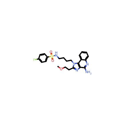 COCCc1nc2c(N)nc3ccccc3c2n1CCCCNS(=O)(=O)c1ccc(F)cc1